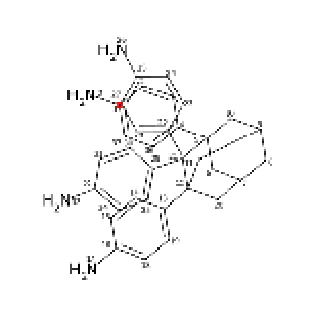 Nc1ccc(C23CC4CC(C2)CC(c2ccc(N)cc2)(C4)C3(c2ccc(N)cc2)c2ccc(N)cc2)cc1